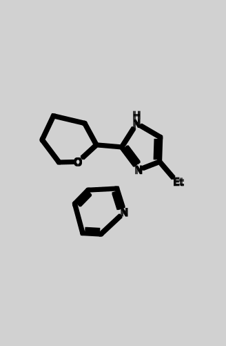 CCc1c[nH]c(C2CCCCO2)n1.c1ccncc1